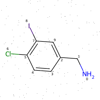 NCc1[c]cc(Cl)c(I)c1